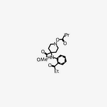 CCC(=O)c1ccccc1NC1(C(=O)OC)CCN(OC(=O)C(C)C)CC1